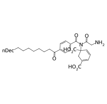 CCCCCCCCCCCCCCCCCC(=O)c1ccc(C(=O)N(C(=O)CN)C2(C(=O)O)C=CC=C(C(=O)O)C2)cc1